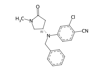 CN1C[C@@H](N(Cc2ccccc2)c2ccc(C#N)c(Cl)c2)CC1=O